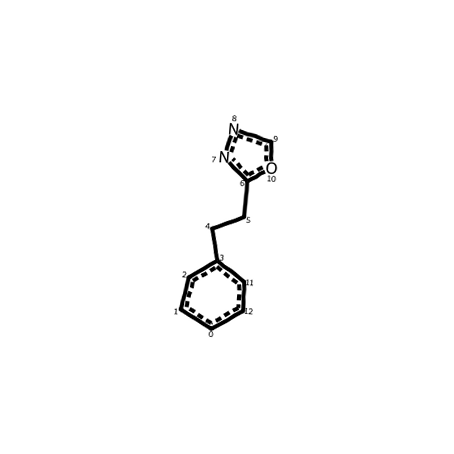 c1ccc(CCc2nnco2)cc1